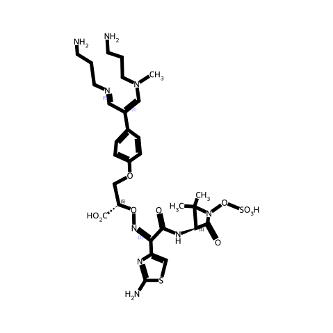 CN(/C=C(\C=N\CCCN)c1ccc(OC[C@H](O/N=C(\C(=O)N[C@@H]2C(=O)N(OS(=O)(=O)O)C2(C)C)c2csc(N)n2)C(=O)O)cc1)CCCN